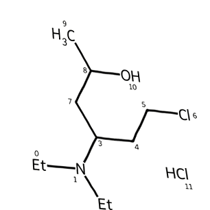 CCN(CC)C(CCCl)CC(C)O.Cl